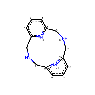 c1cc2nc(c1)CNCc1cccc(n1)CNC2